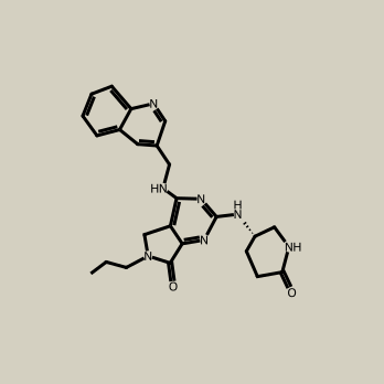 CCCN1Cc2c(NCc3cnc4ccccc4c3)nc(N[C@H]3CCC(=O)NC3)nc2C1=O